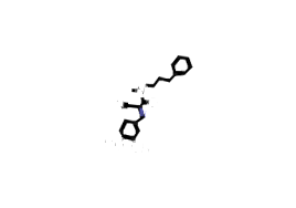 CN(CCCCc1ccccc1)C(=O)/C(C#N)=C/c1ccc(O)c(O)c1